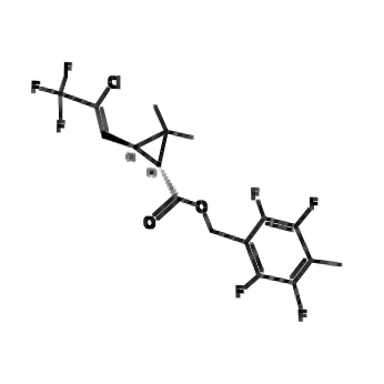 Cc1c(F)c(F)c(COC(=O)[C@@H]2[C@@H](C=C(Cl)C(F)(F)F)C2(C)C)c(F)c1F